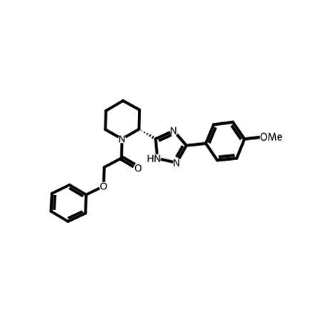 COc1ccc(-c2n[nH]c([C@H]3CCCCN3C(=O)COc3ccccc3)n2)cc1